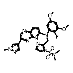 COc1cc(OC)c(F)c(N(Cc2nccn2S(=O)(=O)N(C)C)c2ccc3ncc(-c4cnn(C)c4)nc3n2)c1